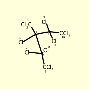 [O]C(Cl)(C(Cl)(Cl)Cl)C(Cl)(C(Cl)(Cl)Cl)C(Cl)(Cl)C(Cl)(Cl)Cl